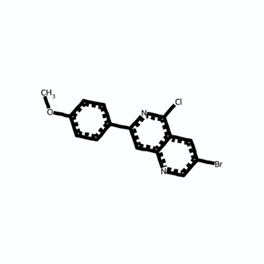 COc1ccc(-c2cc3ncc(Br)cc3c(Cl)n2)cc1